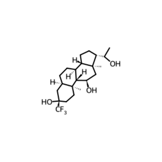 CC(O)[C@H]1CC[C@H]2[C@@H]3CC[C@@H]4C[C@](O)(C(F)(F)F)CC[C@]4(C)[C@H]3[C@H](O)C[C@]12C